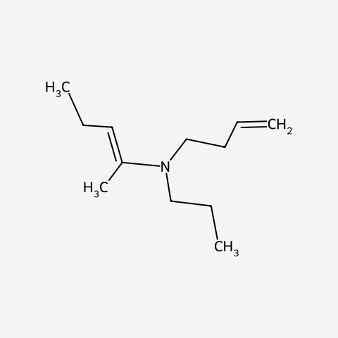 C=CCCN(CCC)/C(C)=C/CC